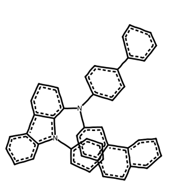 c1ccc(-c2ccc(N(c3ccc4ccc5ccccc5c4c3)c3cccc4c5ccccc5n(-c5ccccc5)c34)cc2)cc1